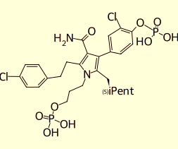 CCC[C@H](C)Cc1c(-c2ccc(OP(=O)(O)O)c(Cl)c2)c(C(N)=O)c(CCc2ccc(Cl)cc2)n1CCCOP(=O)(O)O